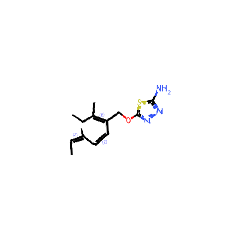 C\C=C(C)/C=C\C(COc1nnc(N)s1)=C(\C)CC